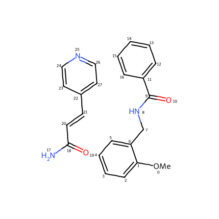 COc1ccccc1CNC(=O)c1ccccc1.NC(=O)/C=C/c1ccncc1